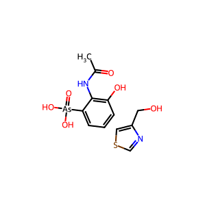 CC(=O)Nc1c(O)cccc1[As](=O)(O)O.OCc1cscn1